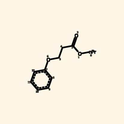 [CH2]CCOC(=O)CCOc1ccccc1